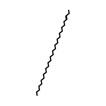 [CH2]CCCCCCCCCCCCCCCCCCCCCCCCCC=CCC